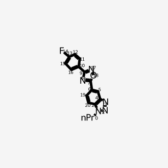 CCCn1nnc2cc(-c3nc(-c4ccc(F)cc4)no3)ccc21